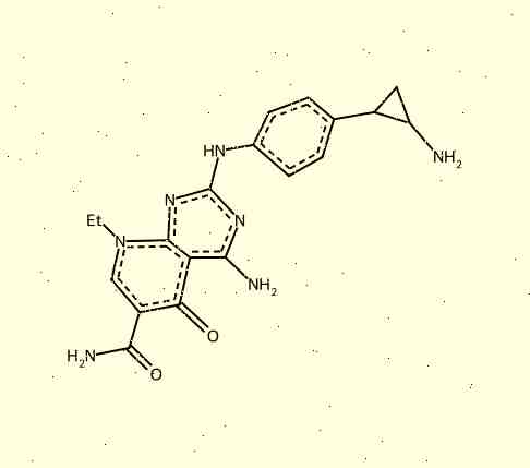 CCn1cc(C(N)=O)c(=O)c2c(N)nc(Nc3ccc(C4CC4N)cc3)nc21